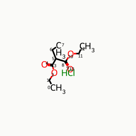 CCOC(=O)C(CC)C(=O)OCC.Cl